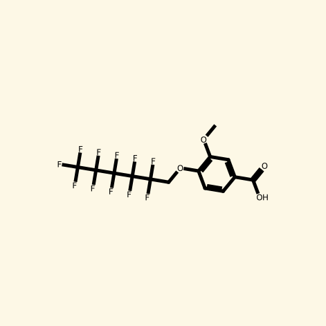 COc1cc(C(=O)O)ccc1OCC(F)(F)C(F)(F)C(F)(F)C(F)(F)C(F)(F)F